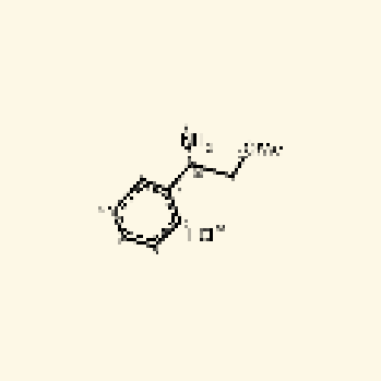 COC[C@@H](N)c1cccnc1.Cl